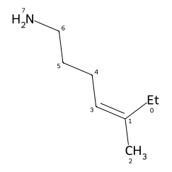 CC/C(C)=C\CCCN